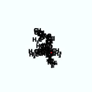 COc1ccc(CNC(=O)c2cc([C@@H](CO)N3C(=O)[C@@](CC(C)(C)C)(c4ccc(-c5cnn(C(F)F)c5)cc4F)N/C3=N\C(=O)OC(C)(C)C)ccc2Cl)c(OC)c1